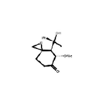 CO[C@@H]1C(=O)CC[C@]2(CO2)[C@H]1[C@@](C)(O)C(C)C